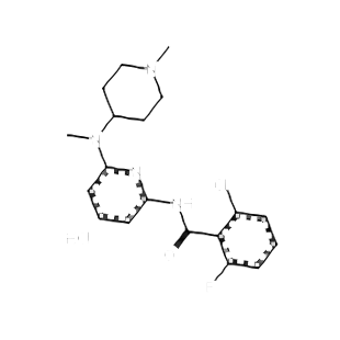 CN1CCC(N(C)c2cccc(NC(=O)c3c(F)cccc3Cl)n2)CC1.Cl